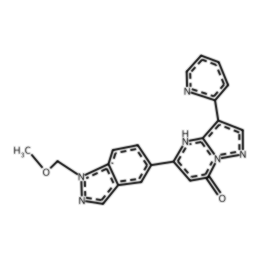 COCn1ncc2cc(-c3cc(=O)n4ncc(-c5ccccn5)c4[nH]3)ccc21